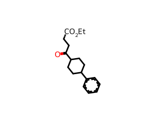 CCOC(=O)CCC(=O)C1CCC(c2ccccc2)CC1